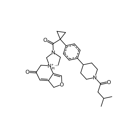 CC(C)CC(=O)N1CCC(c2ccc(C3(C(=O)N4CC[N@+]5(CC(=O)C=C6COC=C65)C4)CC3)cc2)CC1